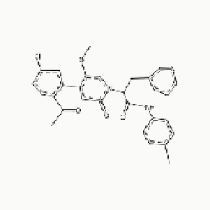 COc1cn(C(Cc2cccnc2)C(=O)Nc2ccc(C)cc2)c(=O)cc1-c1cc(Cl)ccc1C(C)=O